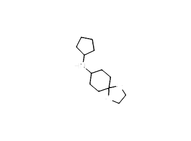 C1CCC(NC2CCC3(CC2)OCCO3)C1